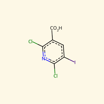 O=C(O)c1cc(I)c(Cl)nc1Cl